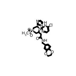 CS(=O)(=O)N1CCN(C2(n3ccnc3)N=CC=C(Cl)N2)C(CC(=O)NCc2ccc3c(c2)OCCO3)C1